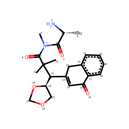 CN(C(=O)[C@H](N)C(C)(C)C)C(=O)C(C)(C)C(C1=CC(=O)c2ccccc2C1)[C@H]1COCO1